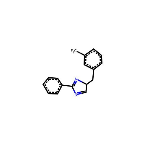 FC(F)(F)c1cccc(CC2C=NC(c3ccccc3)=N2)c1